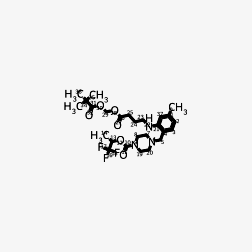 Cc1ccc(CN2CCN(C(=O)OC(C)C(F)(F)F)CC2)c(NCCCC(=O)OCOC(=O)C(C)(C)C)c1